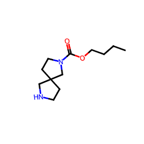 CCCCOC(=O)N1CCC2(CCNC2)C1